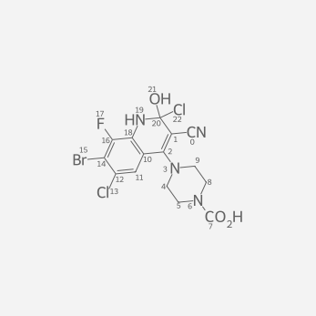 N#CC1=C(N2CCN(C(=O)O)CC2)c2cc(Cl)c(Br)c(F)c2NC1(O)Cl